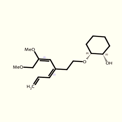 C=C/C=C(\C=C(/COC)OC)CCO[C@@H]1CCCC[C@@H]1O